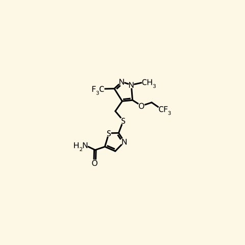 Cn1nc(C(F)(F)F)c(CSc2ncc(C(N)=O)s2)c1OCC(F)(F)F